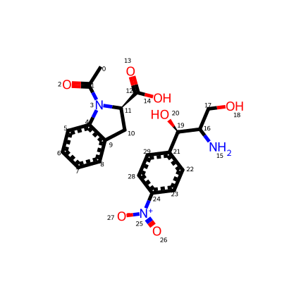 CC(=O)N1c2ccccc2C[C@@H]1C(=O)O.NC(CO)[C@H](O)c1ccc([N+](=O)[O-])cc1